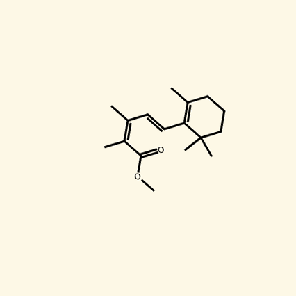 COC(=O)C(C)=C(C)C=CC1=C(C)CCCC1(C)C